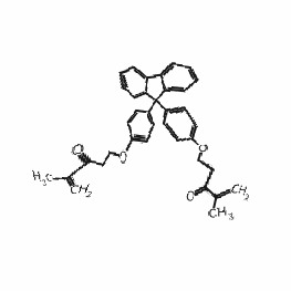 C=C(C)C(=O)CCOc1ccc(C2(c3ccc(OCCC(=O)C(=C)C)cc3)c3ccccc3-c3ccccc32)cc1